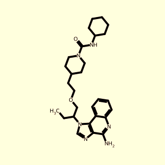 CCC(COCCC1CCN(C(=O)NC2CCCCC2)CC1)n1cnc2c(N)nc3ccccc3c21